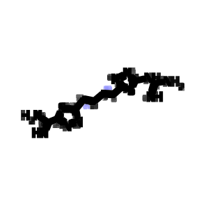 N=C(N)Nc1nnc(/C=C/C=C/c2nnc(C(=N)N)s2)s1